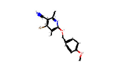 COc1ccc(COc2nc(C)c(C#N)c(Br)c2C)cc1